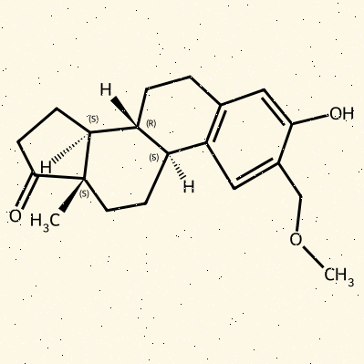 COCc1cc2c(cc1O)CC[C@@H]1[C@@H]2CC[C@]2(C)C(=O)CC[C@@H]12